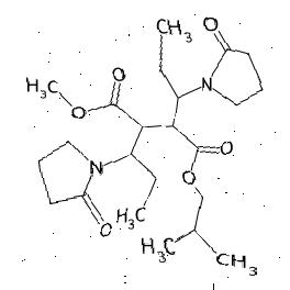 CCC(C(C(=O)OC)C(C(=O)OCC(C)C)C(CC)N1CCCC1=O)N1CCCC1=O